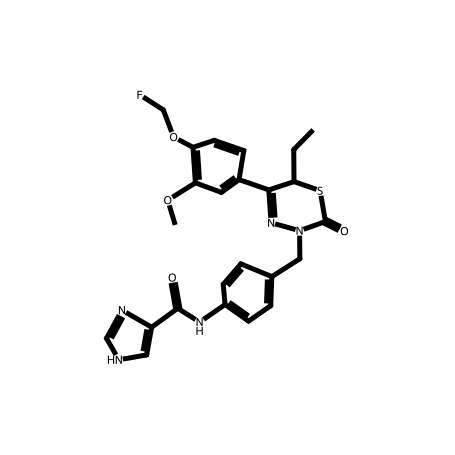 CCC1SC(=O)N(Cc2ccc(NC(=O)c3c[nH]cn3)cc2)N=C1c1ccc(OCF)c(OC)c1